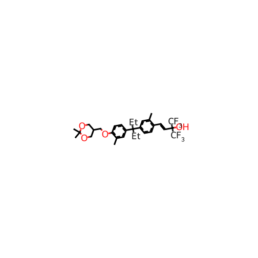 CCC(CC)(c1ccc(C=CC(O)(C(F)(F)F)C(F)(F)F)c(C)c1)c1ccc(OCC2COC(C)(C)OC2)c(C)c1